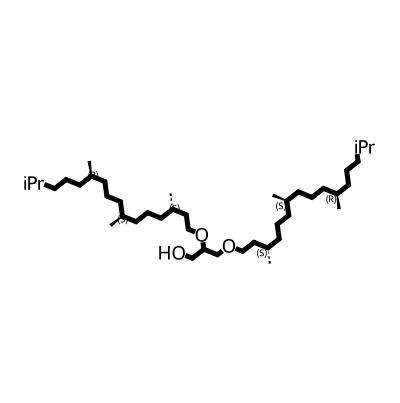 CC(C)CCC[C@@H](C)CCC[C@H](C)CCC[C@H](C)CCOCC(CO)OCC[C@@H](C)CCC[C@@H](C)CCC[C@H](C)CCCC(C)C